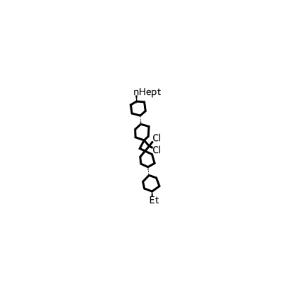 CCCCCCC[C@H]1CC[C@H](C2CCC3(CC2)CC2(CCC([C@H]4CC[C@H](CC)CC4)CC2)C3(Cl)Cl)CC1